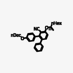 CCCCCCCCCCOc1ccc(-c2c(-c3ccccc3)ccc(O[C@H](C)CCCCCC)c2C#N)cc1